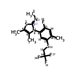 C/N=c1\sc(C)c(C)n1-c1cc(SCC(F)(F)F)c(C)cc1F